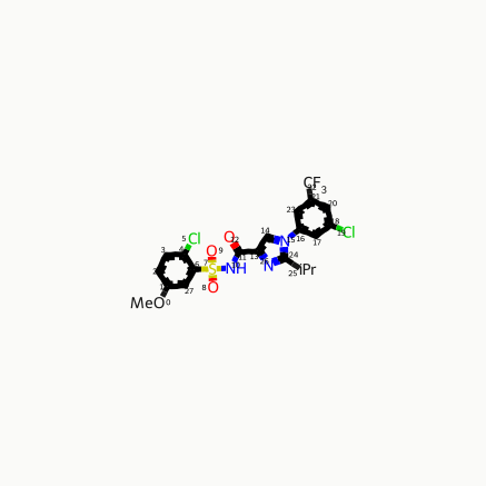 COc1ccc(Cl)c(S(=O)(=O)NC(=O)c2cn(-c3cc(Cl)cc(C(F)(F)F)c3)c(C(C)C)n2)c1